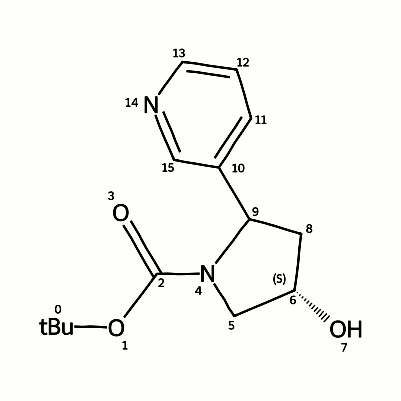 CC(C)(C)OC(=O)N1C[C@@H](O)CC1c1cccnc1